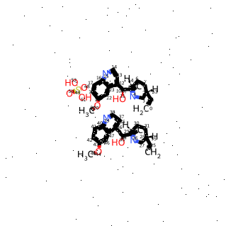 C=C[C@@H]1CN2CCC1C[C@@H]2[C@@H](O)c1ccnc2ccc(OC)cc12.C=C[C@@H]1CN2CCC1C[C@@H]2[C@@H](O)c1ccnc2ccc(OC)cc12.O=S(=O)(O)O